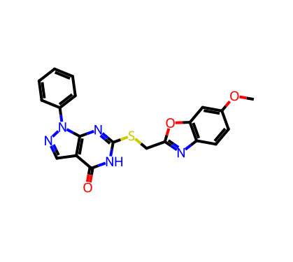 COc1ccc2nc(CSc3nc4c(cnn4-c4ccccc4)c(=O)[nH]3)oc2c1